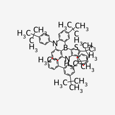 Cc1cc2c3c(c1)N(c1c(-c4ccccc4)cc(C(C)(C)C)cc1-c1ccccc1)c1c(sc4c1C(C)(C)CCC4(C)C)B3c1cc(C(C)(C)C)ccc1N2c1ccc(C(C)(C)C)cc1